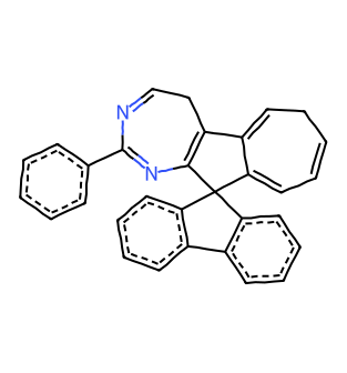 C1=CCC=C2C(=C1)C1(C3=C2CC=NC(c2ccccc2)=N3)c2ccccc2-c2ccccc21